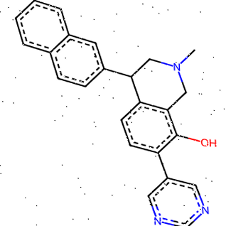 CN1Cc2c(ccc(-c3cncnc3)c2O)C(c2ccc3ccccc3c2)C1